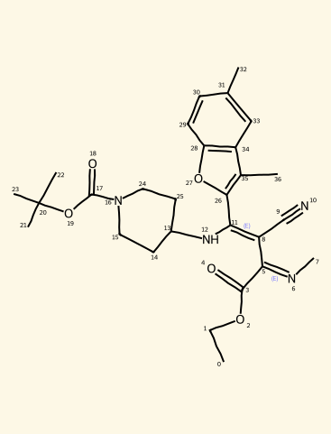 CCOC(=O)C(=N/C)/C(C#N)=C(\NC1CCN(C(=O)OC(C)(C)C)CC1)c1oc2ccc(C)cc2c1C